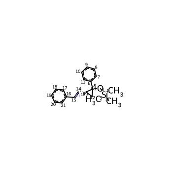 C[Si](C)(C)O[C@@]1(c2ccccc2)C[C@@H]1/C=C/c1ccccc1